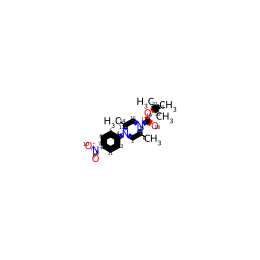 C[C@@H]1CN(c2ccc([N+](=O)[O-])cc2)[C@H](C)CN1C(=O)OC(C)(C)C